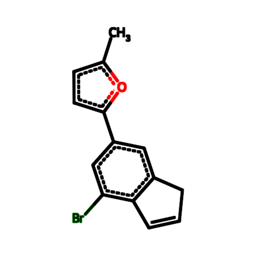 Cc1ccc(-c2cc(Br)c3c(c2)CC=C3)o1